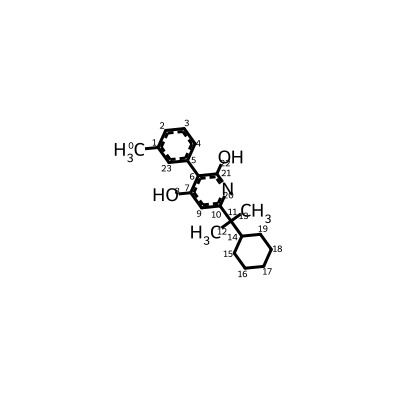 Cc1cccc(-c2c(O)cc(C(C)(C)C3CCCCC3)nc2O)c1